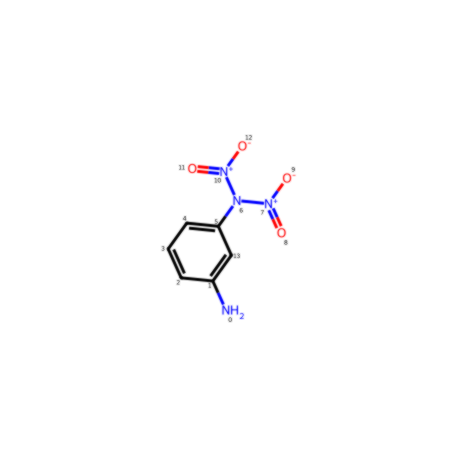 Nc1cccc(N([N+](=O)[O-])[N+](=O)[O-])c1